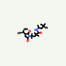 CCCCC(CCC)C1CC(=O)N(C(C)(C)CC(C)(C)C(=O)NC(C)CC(C)(C)C(C)C)C1=O